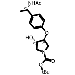 CC(=O)N[C@@H](C)c1ccc(O[C@H]2CN(C(=O)OC(C)(C)C)C[C@@H]2O)cc1